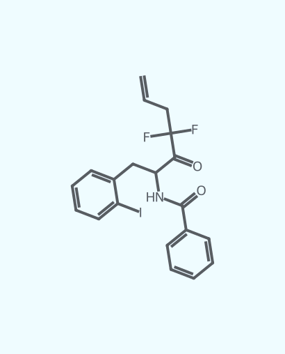 C=CCC(F)(F)C(=O)C(Cc1ccccc1I)NC(=O)c1ccccc1